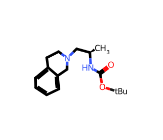 C[C@H](CN1CCc2ccccc2C1)NC(=O)OC(C)(C)C